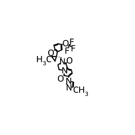 Cc1cn(-c2ccc3n(c2=O)CCN(C[C@]24C[C@@]2(C)Oc2ccc(OC(F)(F)F)cc24)C3=O)cn1